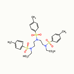 Cc1ccc(S(=O)(=O)N(CCN(CC(=O)O)S(=O)(=O)c2ccc(C)cc2)CCN(CC(=O)O)S(=O)(=O)c2ccc(C)cc2)cc1